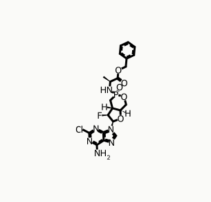 C[C@H](NP1(=O)C[C@H]2[C@H](F)[C@H](n3cnc4c(N)nc(Cl)nc43)O[C@@H]2CO1)C(=O)OCc1ccccc1